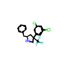 FC(F)(F)C1(c2cc(Cl)cc(Cl)c2)CNC(Cc2ccccc2)C1